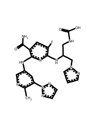 Cc1ncc(Nc2nc(NC(CNC(=O)O)Cn3cccn3)c(F)cc2C(N)=O)cc1-n1nccn1